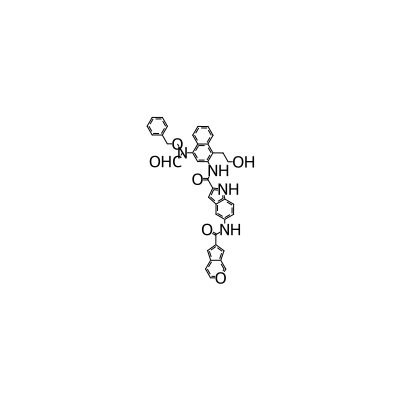 O=CN(OCc1ccccc1)c1cc(NC(=O)c2cc3cc(NC(=O)c4cc5ccocc-5c4)ccc3[nH]2)c(CCO)c2ccccc12